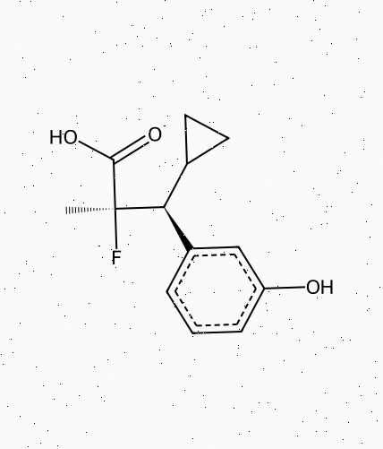 C[C@](F)(C(=O)O)[C@H](c1cccc(O)c1)C1CC1